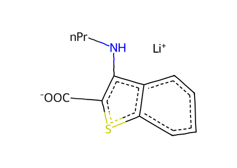 CCCNc1c(C(=O)[O-])sc2ccccc12.[Li+]